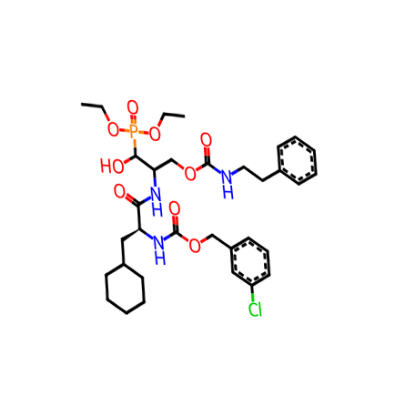 CCOP(=O)(OCC)C(O)C(COC(=O)NCCc1ccccc1)NC(=O)[C@H](CC1CCCCC1)NC(=O)OCc1cccc(Cl)c1